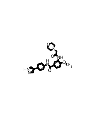 O=C(CN1CCOCC1)Nc1cc(C(=O)Nc2ccc(-c3cn[nH]c3)cc2)ccc1OC(F)(F)F